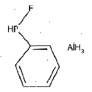 FPc1ccccc1.[AlH3]